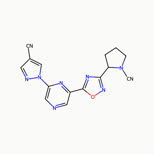 N#Cc1cnn(-c2cncc(-c3nc(C4CCCN4C#N)no3)n2)c1